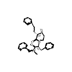 CN(Cc1ccccc1)C(=O)[C@H](Cc1ccccc1)N1CCN[C@@H](CCc2ccccc2)C1=O